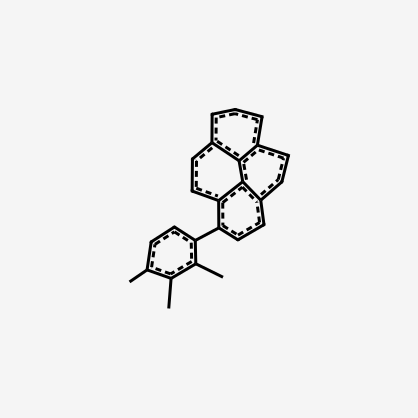 Cc1ccc(-c2ccc3ccc4cccc5ccc2c3c45)c(C)c1C